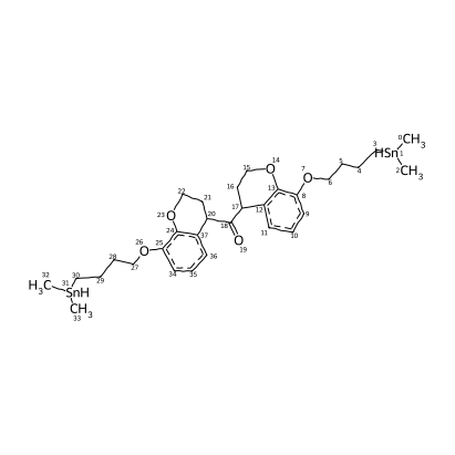 [CH3][SnH]([CH3])[CH2]CCCOc1cccc2c1OCCC2C(=O)C1CCOc2c(OCCC[CH2][SnH]([CH3])[CH3])cccc21